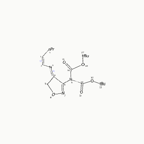 CCC/C=C\N=C1/CON=C1N(C(=O)OC(C)(C)C)C(=O)OC(C)(C)C